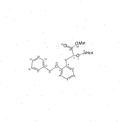 CCCCCCOC(Cc1ccccc1OCc1ccccc1)C(=O)OC